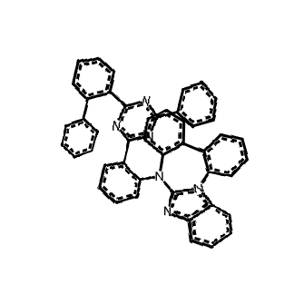 c1ccc(-c2nc(-c3ccccc3-c3ccccc3)nc(-c3ccccc3N3c4ccccc4-c4ccccc4-n4c3nc3ccccc34)n2)cc1